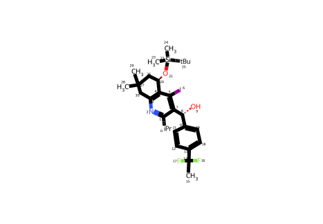 CC(C)c1nc2c(c(I)c1[C@H](O)c1ccc(C(C)(F)F)cc1)[C@@H](O[Si](C)(C)C(C)(C)C)CC(C)(C)C2